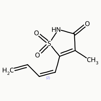 C=C/C=C\C1=C(C)C(=O)NS1(=O)=O